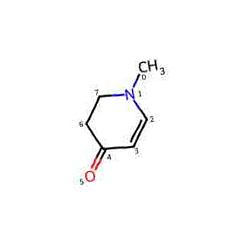 CN1C=CC(=O)CC1